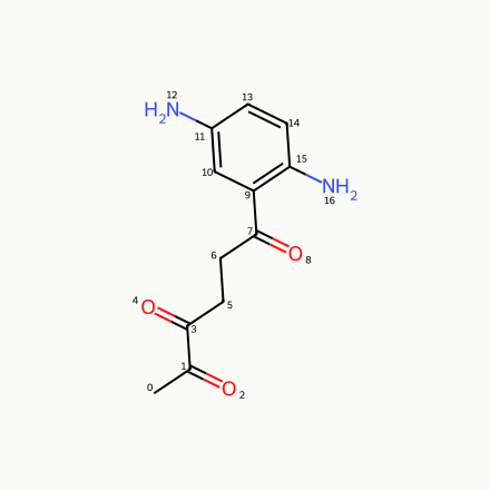 CC(=O)C(=O)CCC(=O)c1cc(N)ccc1N